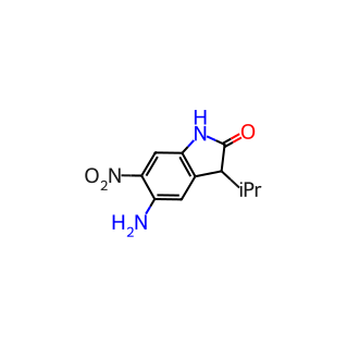 CC(C)C1C(=O)Nc2cc([N+](=O)[O-])c(N)cc21